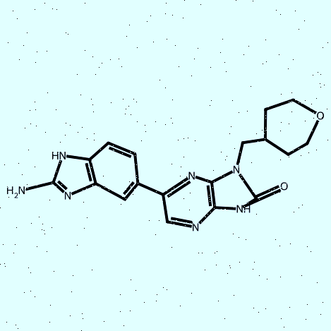 Nc1nc2cc(-c3cnc4[nH]c(=O)n(CC5CCOCC5)c4n3)ccc2[nH]1